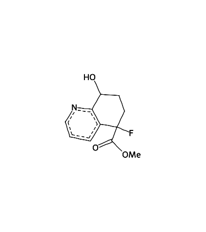 COC(=O)C1(F)CCC(O)c2ncccc21